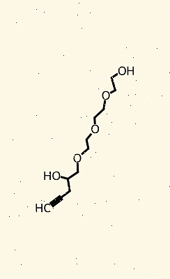 C#CCC(O)COCCOCCOCCO